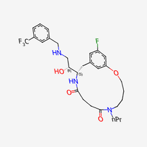 CCCN1CCCCOc2cc(F)cc(c2)C[C@@H]([C@H](O)CNCc2cccc(C(F)(F)F)c2)NC(=O)CCC1=O